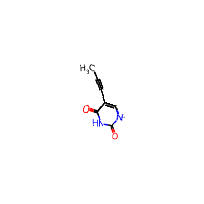 CC#CC1=C[N]C(=O)NC1=O